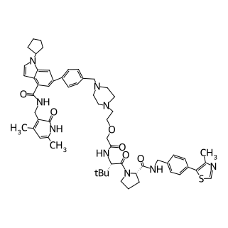 Cc1cc(C)c(CNC(=O)c2cc(-c3ccc(CN4CCN(CCOCC(=O)N[C@H](C(=O)N5CCC[C@H]5C(=O)NCc5ccc(-c6scnc6C)cc5)C(C)(C)C)CC4)cc3)cc3c2ccn3C2CCCC2)c(=O)[nH]1